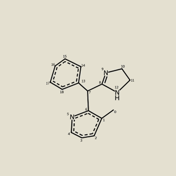 Cc1cccnc1C(C1=NCCN1)c1ccccc1